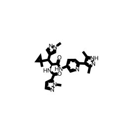 Cc1n[nH]c(C)c1-c1ccc(NC(=O)[C@@H](NC(=O)c2ccnn2C)C(c2cnn(C)c2)C2(C)CC2)cn1